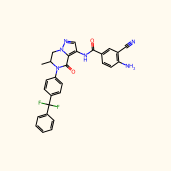 CC1Cn2ncc(NC(=O)c3ccc(N)c(C#N)c3)c2C(=O)N1c1ccc(C(F)(F)c2ccccc2)cc1